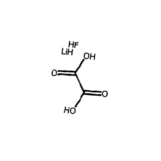 F.O=C(O)C(=O)O.[LiH]